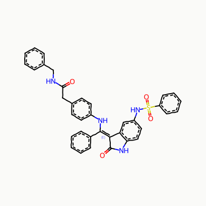 O=C(Cc1ccc(N/C(=C2/C(=O)Nc3ccc(NS(=O)(=O)c4ccccc4)cc32)c2ccccc2)cc1)NCc1ccccc1